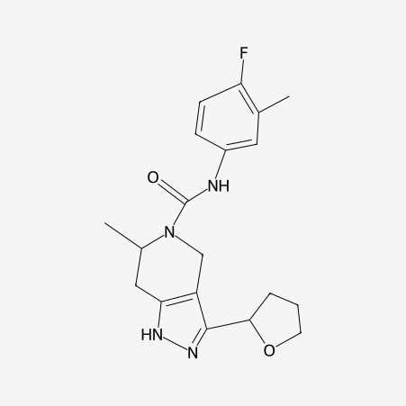 Cc1cc(NC(=O)N2Cc3c(C4CCCO4)n[nH]c3CC2C)ccc1F